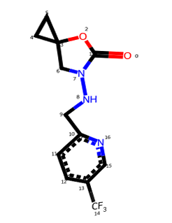 O=C1OC2(CC2)CN1NCc1ccc(C(F)(F)F)cn1